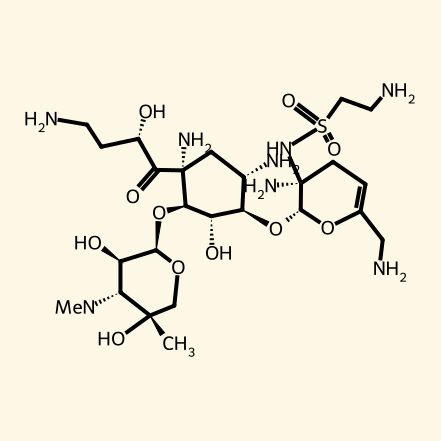 CN[C@@H]1[C@@H](O)[C@@H](O[C@@H]2[C@@H](O)[C@H](O[C@H]3OC(CN)=CC[C@]3(N)NS(=O)(=O)CCN)[C@@H](N)C[C@]2(N)C(=O)[C@@H](O)CCN)OC[C@]1(C)O